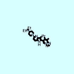 CCN(CC)C1CCN(c2ccc3[nH]c(-c4cn5ncnc5c(C)c4C)c(C(C)C)c3n2)CC1